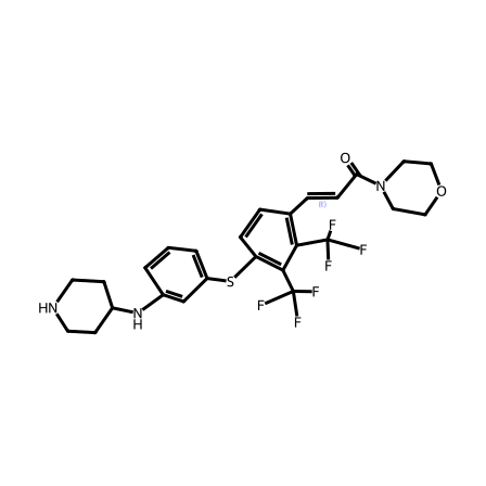 O=C(/C=C/c1ccc(Sc2cccc(NC3CCNCC3)c2)c(C(F)(F)F)c1C(F)(F)F)N1CCOCC1